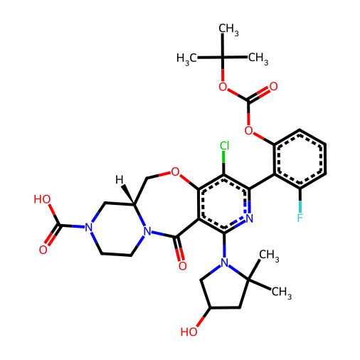 CC(C)(C)OC(=O)Oc1cccc(F)c1-c1nc(N2CC(O)CC2(C)C)c2c(c1Cl)OC[C@H]1CN(C(=O)O)CCN1C2=O